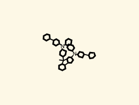 CC1(c2ccc(N(c3ccccc3)c3ccc(-c4ccccc4)cc3)cc2)c2ccccc2-c2ccc(N(c3ccccc3)c3ccc(-c4ccccc4)cc3)cc21